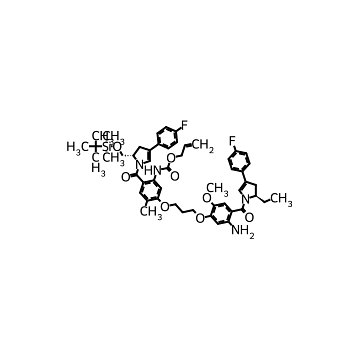 C=CCOC(=O)Nc1cc(OCCCOc2cc(N)c(C(=O)N3C=C(c4ccc(F)cc4)C[C@H]3CC)cc2OC)c(C)cc1C(=O)N1C=C(c2ccc(F)cc2)C[C@H]1CO[Si](C)(C)C(C)(C)C